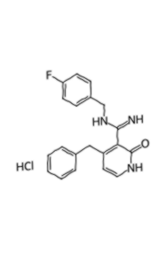 Cl.N=C(NCc1ccc(F)cc1)c1c(Cc2ccccc2)cc[nH]c1=O